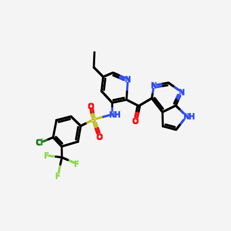 CCc1cnc(C(=O)c2ncnc3[nH]ccc23)c(NS(=O)(=O)c2ccc(Cl)c(C(F)(F)F)c2)c1